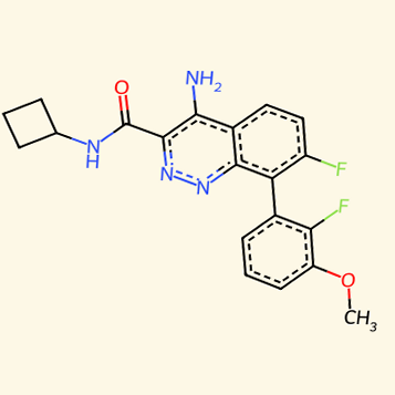 COc1cccc(-c2c(F)ccc3c(N)c(C(=O)NC4CCC4)nnc23)c1F